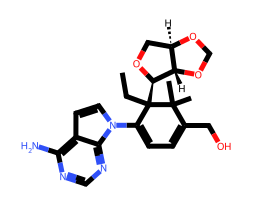 CCC1([C@H]2OC[C@H]3OCO[C@@H]32)C(n2ccc3c(N)ncnc32)=CC=C(CO)C1(C)C